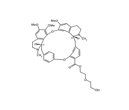 COc1cc2c3cc1Oc1c(OC)c(OC)cc4c1[C@H](Cc1ccc(cc1)Oc1cc(ccc1C(=O)OCCOCCO)C[C@H]3N(C)CC2)N(C)CC4